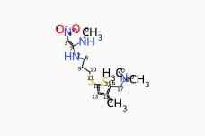 CNC(=C[N+](=O)[O-])NCCCSc1cc(C)c(CN(C)C)s1